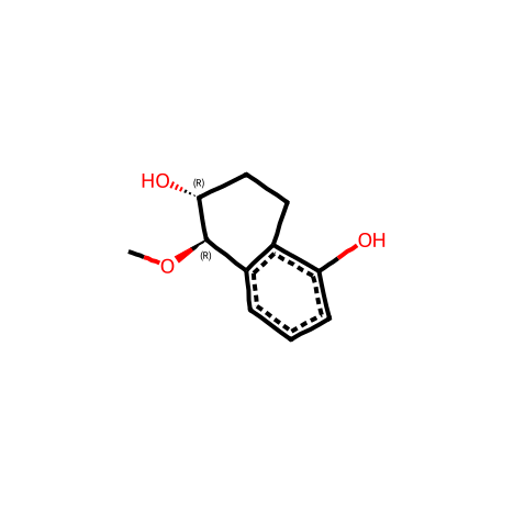 CO[C@@H]1c2cccc(O)c2CC[C@H]1O